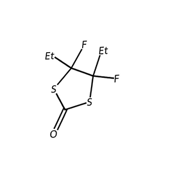 CCC1(F)SC(=O)SC1(F)CC